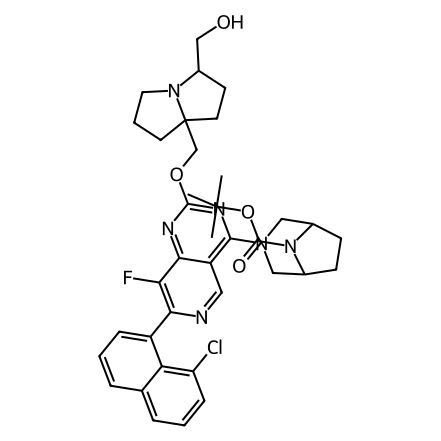 CC(C)(C)OC(=O)N1C2CCC1CN(c1nc(OCC34CCCN3C(CO)CC4)nc3c(F)c(-c4cccc5cccc(Cl)c45)ncc13)C2